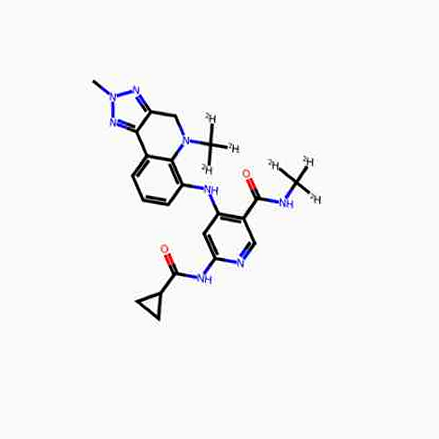 [2H]C([2H])([2H])NC(=O)c1cnc(NC(=O)C2CC2)cc1Nc1cccc2c1N(C([2H])([2H])[2H])Cc1nn(C)nc1-2